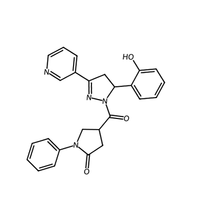 O=C1CC(C(=O)N2N=C(c3cccnc3)CC2c2ccccc2O)CN1c1ccccc1